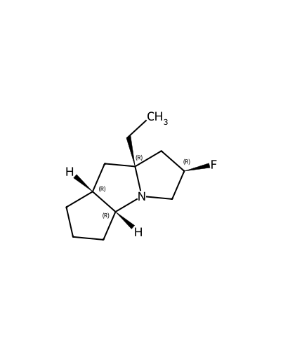 CC[C@@]12C[C@@H](F)CN1[C@@H]1CCC[C@@H]1C2